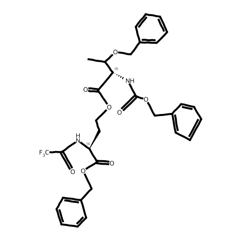 CC(OCc1ccccc1)[C@H](NC(=O)OCc1ccccc1)C(=O)OCC[C@H](NC(=O)C(F)(F)F)C(=O)OCc1ccccc1